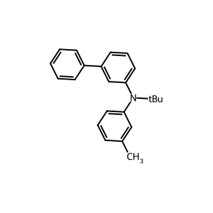 Cc1cccc(N(c2cccc(-c3ccccc3)c2)C(C)(C)C)c1